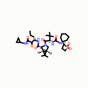 CCC[C@H](NC(=O)[C@@H]1[C@@H]2[C@H](CN1C(=O)[C@@H](NC(=O)NC1([C@@H]3CCS3(=O)=O)CCCCC1)C(C)(C)C)C2(C)C)C(=O)C(=O)NC1CC1